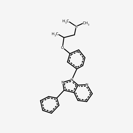 CC(CN(C)C)Oc1cccc(-n2nc(-c3ccccc3)c3cccnc32)c1